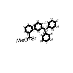 COC(Br)c1ccccc1.c1ccc(P(c2ccccc2)c2ccccc2)cc1